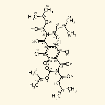 CC(C)OC(=O)N(C(=O)OC(C)C)C(=O)c1c(Cl)c(Cl)c(C(=O)N(C(=O)OC(C)C)C(=O)OC(C)C)c(Cl)c1Cl